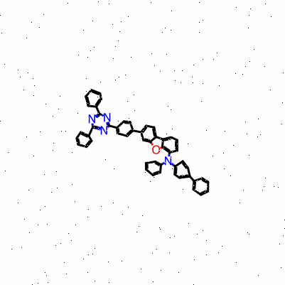 c1ccc(-c2ccc(N(c3ccccc3)c3cccc4c3oc3cc(-c5ccc(-c6nc(-c7ccccc7)nc(-c7ccccc7)n6)cc5)ccc34)cc2)cc1